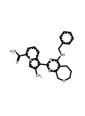 Cc1cn2c(C(N)=O)cccc2c1-c1nc2c(c(NCc3ccccc3)n1)CCCOC2